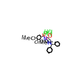 COc1ccc(CN2CCN(C(c3ccccc3)c3ccccc3)CC2)c(OC)c1OC.Cl.Cl.O